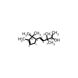 CC1=CCC(C=CC(C)(C)C(C)O)C1(C)C